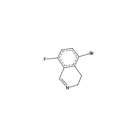 Fc1ccc(Br)c2c1C=NCC2